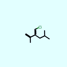 C=C(C)C(=CCl)CC(C)C